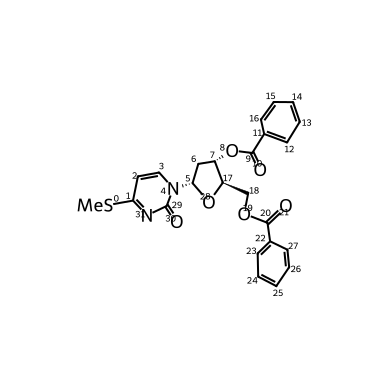 CSc1ccn([C@@H]2C[C@H](OC(=O)c3ccccc3)[C@@H](COC(=O)c3ccccc3)O2)c(=O)n1